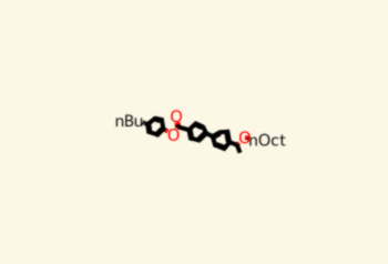 CCCCCCCCOC(C)c1ccc(-c2ccc(C(=O)Oc3ccc(CCCC)cc3)cc2)cc1